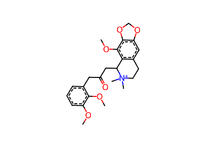 COc1cccc(CC(=O)CC2c3c(cc4c(c3OC)OCO4)CC[N+]2(C)C)c1OC